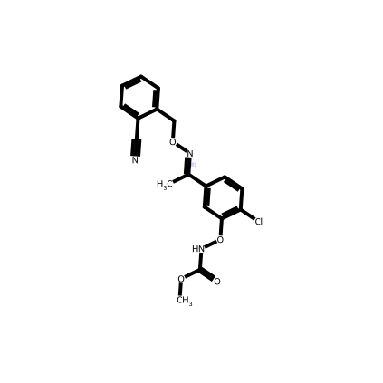 COC(=O)NOc1cc(/C(C)=N/OCc2ccccc2C#N)ccc1Cl